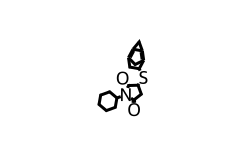 O=C1CC(SC2CC3=C4CC4=C2C3)C(=O)N1C1CCCCC1